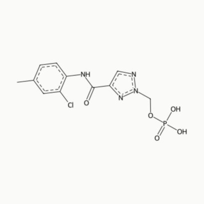 Cc1ccc(NC(=O)c2cnn(COP(=O)(O)O)n2)c(Cl)c1